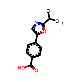 CC(C)c1ncc(-c2ccc(C(=O)O)cc2)o1